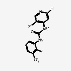 O=C(Nc1cc(Cl)ncc1Br)Nc1cccc(C(F)(F)F)c1F